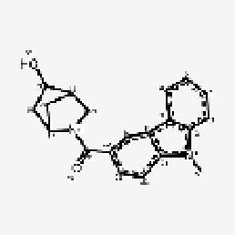 Cn1c2ccccc2c2cc(C(=O)N3CC4CC3CC4O)ccc21